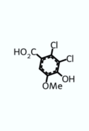 COc1cc(C(=O)O)c(Cl)c(Cl)c1O